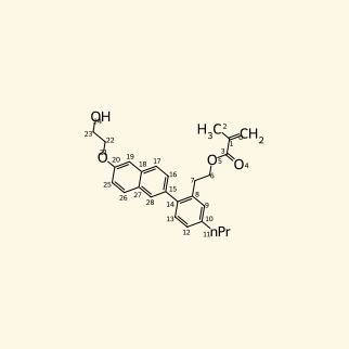 C=C(C)C(=O)OCCc1cc(CCC)ccc1-c1ccc2cc(OCCO)ccc2c1